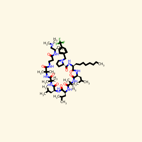 CCCCCCCC[C@H](NC(=O)[C@@H]1CCCN1Cc1ccc(C(F)(F)F)cc1)C(=O)N[C@@H](CC(C)C)C(=O)NC(C)(C)C(=O)N[C@@H](CC(C)C)C(=O)N[C@@H](CC(C)C)C(=O)NC(C)(C)C(=O)NC(C)(C)C(=O)NCCC(=O)N[C@@H](C)CN(C)C